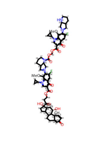 COc1c(N2CC3CCCNC3C2)c(F)cc2c(=O)c(C(=O)OCOC(=O)N3CCCC4CN(c5c(F)cc6c(=O)c(C(=O)OC[CH]C(=O)[C@@]7(O)CCC8C9CCC%10=CC(=O)C=C[C@]%10(C)C9[C@@H](O)C[C@@]87C)cn(C7CC7)c6c5OC)CC43)cn(C3CC3)c12